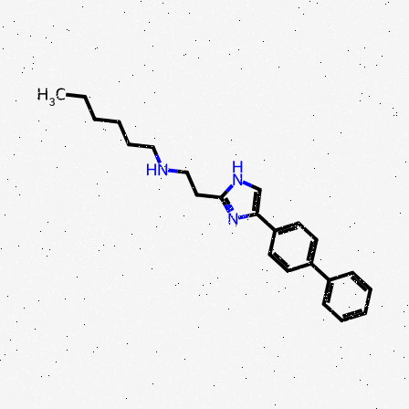 CCCCCCNCCc1nc(-c2ccc(-c3ccccc3)cc2)c[nH]1